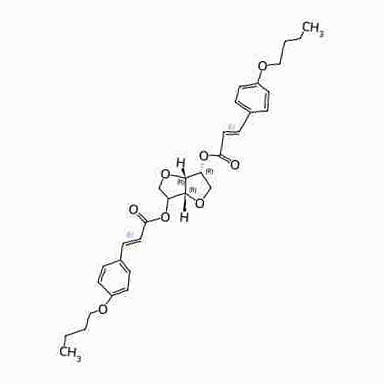 CCCCOc1ccc(/C=C/C(=O)OC2CO[C@H]3[C@@H]2OC[C@H]3OC(=O)/C=C/c2ccc(OCCCC)cc2)cc1